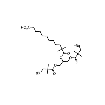 CC(C)(C)CC(C)(C)C(=O)OCC(COC(=O)C(C)(C)CC(C)(C)C)OC(=O)C(C)(C)CCCCCCCCCC(=O)O